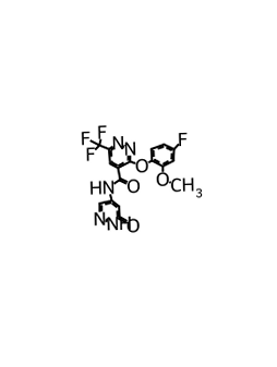 COc1cc(F)ccc1Oc1nnc(C(F)(F)F)cc1C(=O)Nc1cn[nH]c(=O)c1